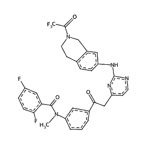 CN(C(=O)c1cc(F)ccc1F)c1cccc(C(=O)Cc2ccnc(Nc3ccc4c(c3)CN(C(=O)C(F)(F)F)CC4)n2)c1